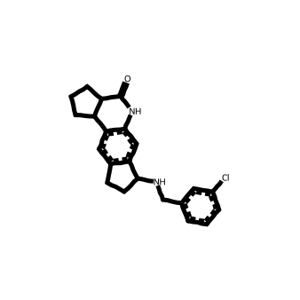 O=C1Nc2cc3c(cc2C2CCCC12)CCC3NCc1cccc(Cl)c1